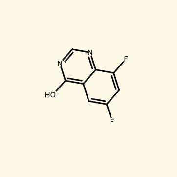 Oc1ncnc2c(F)cc(F)cc12